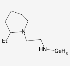 CCC1CCCCN1CC[NH][GeH3]